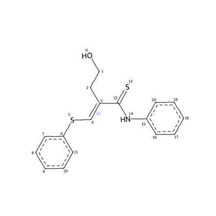 OCC/C(=C\Sc1ccccc1)C(=S)Nc1ccccc1